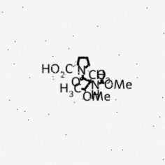 COC(=O)N[C@@](C)(C(=O)N1CCC[C@H]1C(=O)O)[C@@H](C)OC